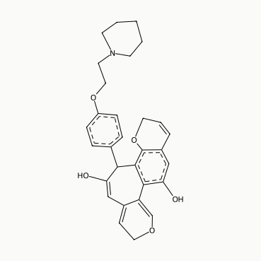 OC1=CC2=CCOC=C2c2c(O)cc3c(c2C1c1ccc(OCCN2CCCCC2)cc1)OCC=C3